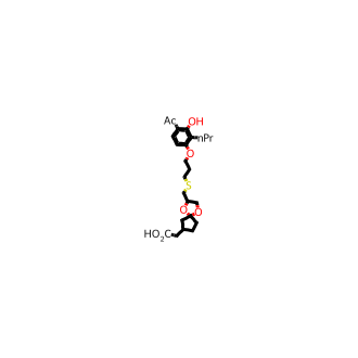 CCCc1c(OCCCSCC2COC3(CCC(CC(=O)O)C3)O2)ccc(C(C)=O)c1O